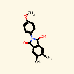 COc1ccc(N2C(=O)c3cc(C)c(C)cc3C2O)cc1